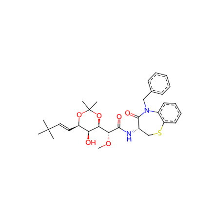 CO[C@@H](C(=O)N[C@H]1CSc2ccccc2N(Cc2ccccc2)C1=O)[C@@H]1OC(C)(C)O[C@H](C=CC(C)(C)C)[C@@H]1O